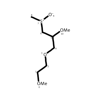 COCCOCC(C[S+](C)[O-])OC